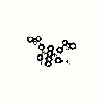 Cc1cccc(N(c2ccc(-c3cccc4c3oc3ccccc34)cc2)c2c3ccccc3c(N(c3ccc(-c4cccc5c4oc4ccccc45)cc3)c3cccc(C)c3)c3cc4ccccc4cc23)c1